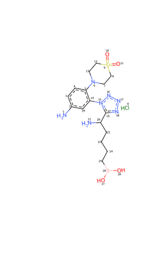 Cl.Nc1ccc(N2CCS(=O)(=O)CC2)c(-n2nnnc2C(N)CCCCB(O)O)c1